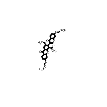 COCOc1ccc2c(=O)c(-c3c(C(C)=O)cc4c(=O)c5ccc(OCOC)cc5oc4c3C(C)=O)coc2c1